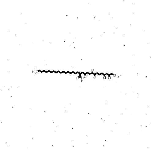 CCCCCCCCCCCCCCCCCCC(CC(Cl)CCC(Cl)C(Cl)CCCC(Cl)CC(Cl)CC)C(=O)O